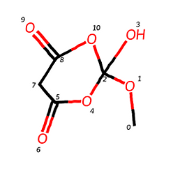 COC1(O)OC(=O)CC(=O)O1